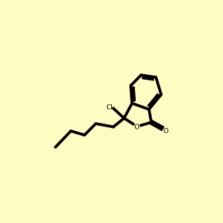 CCCCCC1(Cl)OC(=O)c2ccccc21